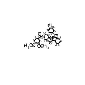 COc1ccc(C(=O)N2CC[C@H](NC(=O)c3ccccc3Cl)[C@@H](c3cccc(Cl)c3)C2)cc1OC